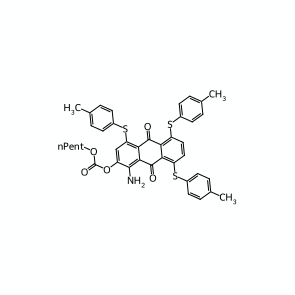 CCCCCOC(=O)Oc1cc(Sc2ccc(C)cc2)c2c(c1N)C(=O)c1c(Sc3ccc(C)cc3)ccc(Sc3ccc(C)cc3)c1C2=O